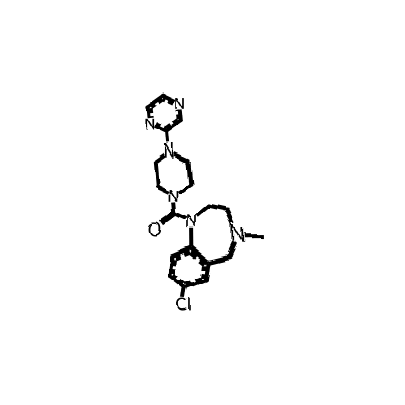 CN1CCN(C(=O)N2CCN(c3cnccn3)CC2)c2ccc(Cl)cc2C1